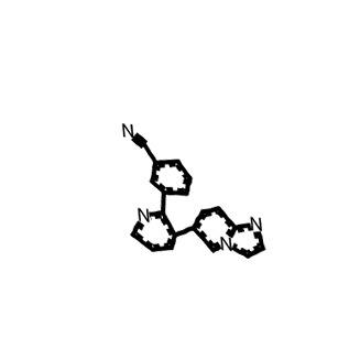 N#Cc1cccc(-c2ncccc2-c2ccc3nccn3c2)c1